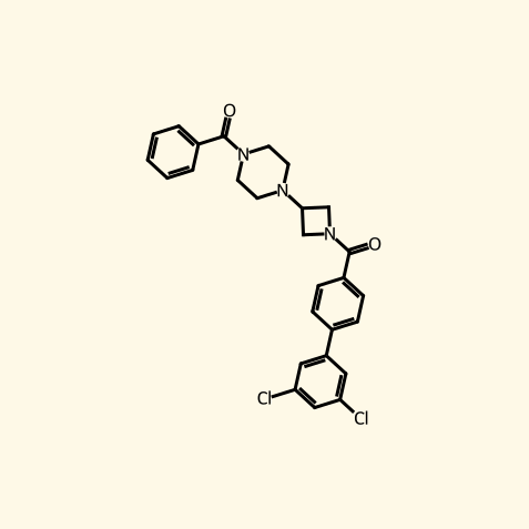 O=C(c1ccccc1)N1CCN(C2CN(C(=O)c3ccc(-c4cc(Cl)cc(Cl)c4)cc3)C2)CC1